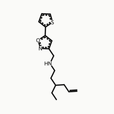 C=CCC(CC)CCNCc1cc(-c2cccs2)on1